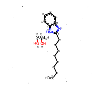 CCCCCCCCCCCCCCCCCc1nc2ccccc2[nH]1.O=S(=O)(O)O.O=S(=O)(O)O